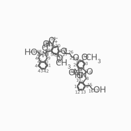 COc1cc(C(=O)NCc2ccccc2CCO)c([N+](=O)[O-])cc1OCCCOc1cc([N+](=O)[O-])c(C(=O)N2Cc3ccccc3CC2CO)cc1OC